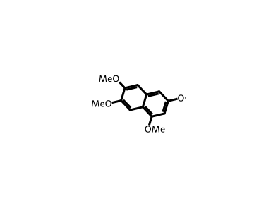 COc1cc2cc([O])cc(OC)c2cc1OC